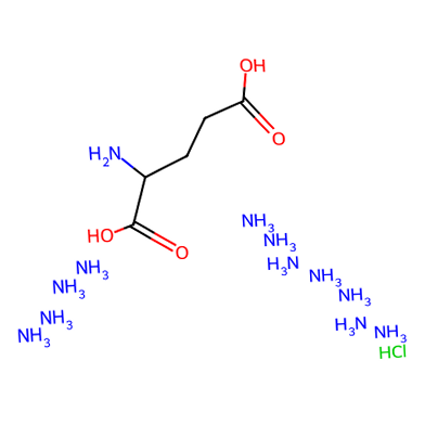 Cl.N.N.N.N.N.N.N.N.N.N.N.NC(CCC(=O)O)C(=O)O